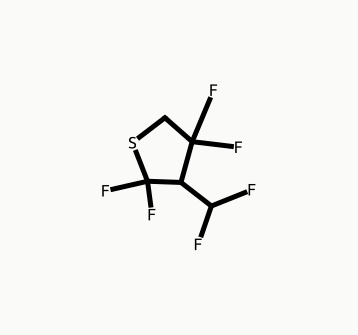 FC(F)C1C(F)(F)CSC1(F)F